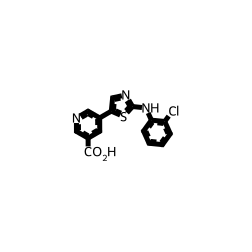 O=C(O)c1cncc(-c2cnc(Nc3ccccc3Cl)s2)c1